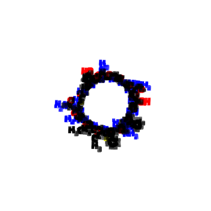 CCCC[C@H]1C(=O)N(C)[C@@H](CCCC)C(=O)N[C@@H](CN)C(=O)N[C@H](C(=O)NCC(N)=O)CSCC(=O)N[C@H]2Cc3ccc(O)cc3N(C2=O)[C@@H](C)C(=O)N[C@@H](CC(N)=O)C(=O)N2CCC[C@H]2C(=O)N[C@@H](CN)C(=O)N[C@@H](CCC(N)=O)C(=O)N2C[C@H](O)C[C@H]2C(=O)N[C@@H](Cc2c[nH]c3ccccc23)C(=O)N[C@@H](CCN)C(=O)N[C@@H](Cc2csc3ccccc23)C(=O)N1C